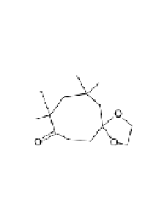 CC1(C)CC2(CCC(=O)C(C)(C)C1)OCCO2